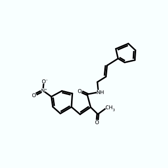 CC(=O)/C(=C/c1ccc([N+](=O)[O-])cc1)C(=O)NC/C=C/c1ccccc1